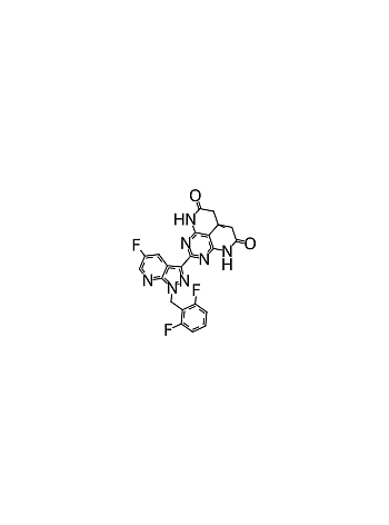 CC12CC(=O)Nc3nc(-c4nn(Cc5c(F)cccc5F)c5ncc(F)cc45)nc(c31)NC(=O)C2